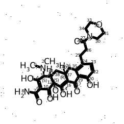 CN(C)[C@@H]1C(O)=C(C(N)=O)C(=O)[C@@]2(O)C(O)=C3C(=O)c4c(O)ccc(CCC(=O)N5CCOCC5)c4C[C@H]3C[C@@H]12